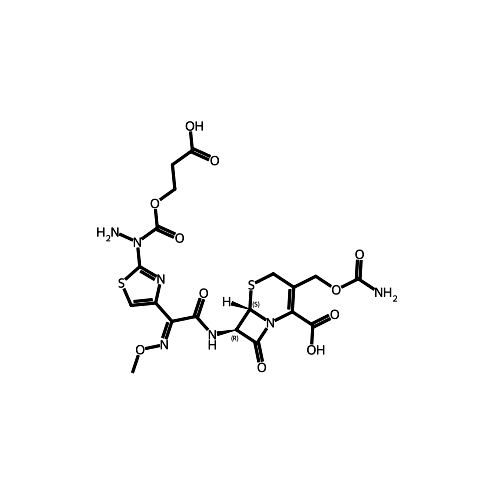 CON=C(C(=O)N[C@@H]1C(=O)N2C(C(=O)O)=C(COC(N)=O)CS[C@@H]12)c1csc(N(N)C(=O)OCCC(=O)O)n1